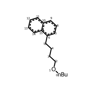 CCCCO[CH]CC[CH]c1cccc2ccccc12